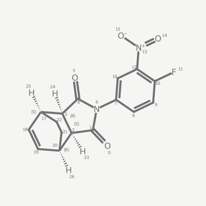 O=C1[C@@H]2[C@H](C(=O)N1c1ccc(F)c([N+](=O)[O-])c1)[C@@H]1C=C[C@H]2CC1